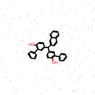 Oc1ccc(C(c2ccc(O)c(-c3ccccc3)c2)c2ccc3ccccc3c2)cc1-c1ccccc1